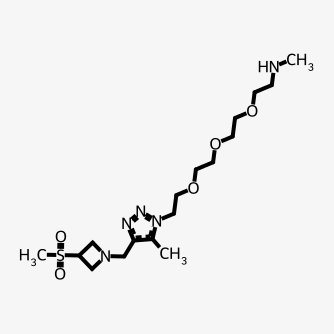 CNCCOCCOCCOCCn1nnc(CN2CC(S(C)(=O)=O)C2)c1C